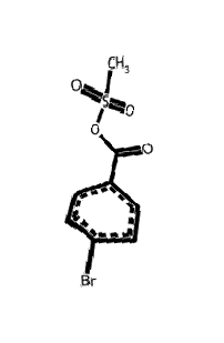 CS(=O)(=O)OC(=O)c1ccc(Br)cc1